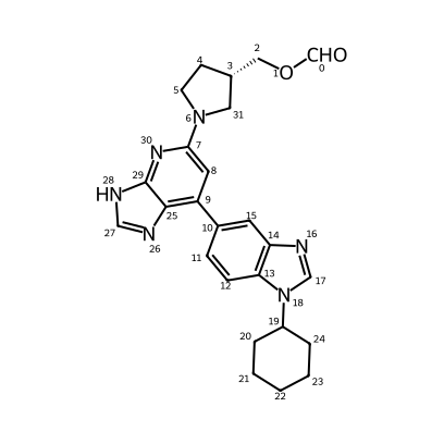 O=COC[C@H]1CCN(c2cc(-c3ccc4c(c3)ncn4C3CCCCC3)c3nc[nH]c3n2)C1